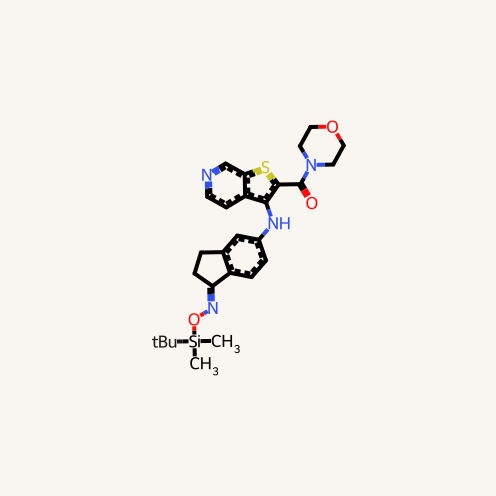 CC(C)(C)[Si](C)(C)ON=C1CCc2cc(Nc3c(C(=O)N4CCOCC4)sc4cnccc34)ccc21